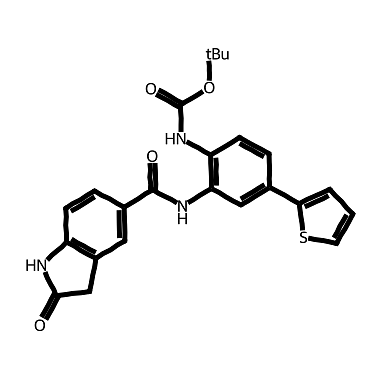 CC(C)(C)OC(=O)Nc1ccc(-c2cccs2)cc1NC(=O)c1ccc2c(c1)CC(=O)N2